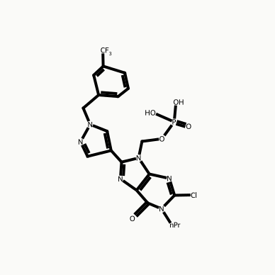 CCCn1c(Cl)nc2c(nc(-c3cnn(Cc4cccc(C(F)(F)F)c4)c3)n2COP(=O)(O)O)c1=O